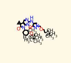 COc1nn(COCC[Si](C)(C)C)cc1Nc1ncc2c(n1)N([C@@H]1CCC[C@@H](O[Si](C)(C)C(C)(C)C)C1)C(=O)C21CC1